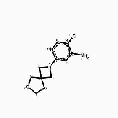 Nc1cc(N2CC3(CCOC3)C2)ncc1Cl